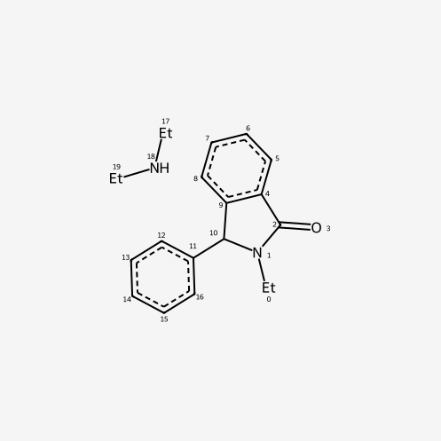 CCN1C(=O)c2ccccc2C1c1ccccc1.CCNCC